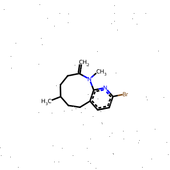 C=C1CCC(C)CCc2ccc(Br)nc2N1C